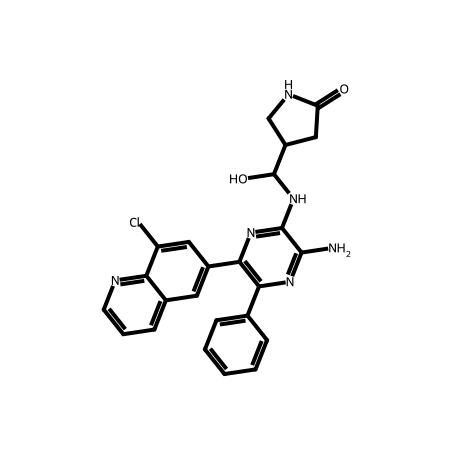 Nc1nc(-c2ccccc2)c(-c2cc(Cl)c3ncccc3c2)nc1NC(O)C1CNC(=O)C1